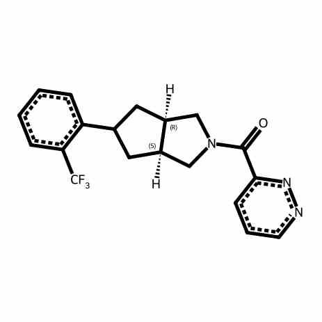 O=C(c1cccnn1)N1C[C@H]2CC(c3ccccc3C(F)(F)F)C[C@H]2C1